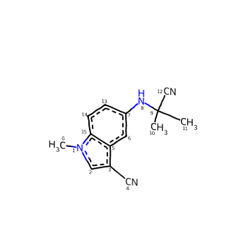 Cn1cc(C#N)c2cc(NC(C)(C)C#N)ccc21